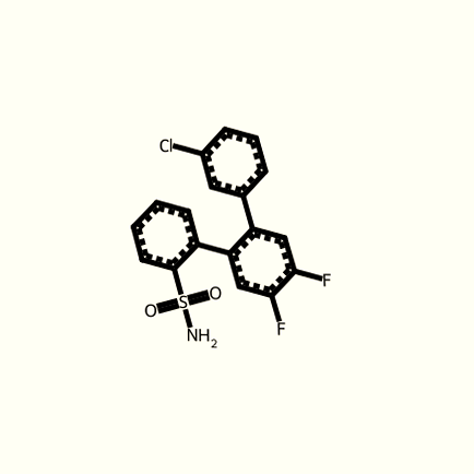 NS(=O)(=O)c1ccccc1-c1cc(F)c(F)cc1-c1cccc(Cl)c1